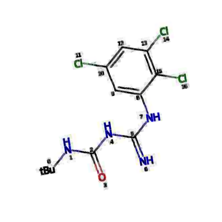 CC(C)(C)NC(=O)NC(=N)Nc1cc(Cl)cc(Cl)c1Cl